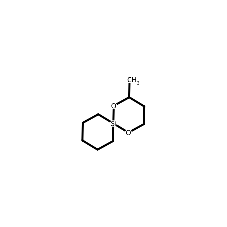 CC1CCO[Si]2(CCCCC2)O1